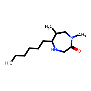 CCCCCCC1NCC(=O)N(C)CC1C